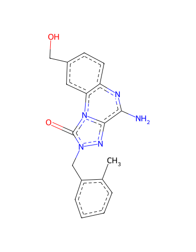 Cc1ccccc1Cn1nc2c(N)nc3ccc(CO)cc3n2c1=O